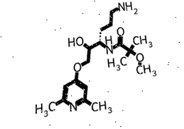 COC(C)(C)C(=O)N[C@@H](CCCN)C(O)COc1cc(C)nc(C)c1